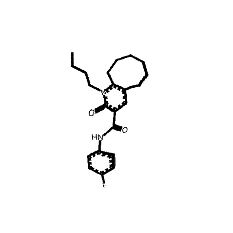 CCCCn1c2c(cc(C(=O)Nc3ccc(F)cc3)c1=O)CCCCCC2